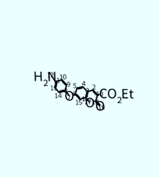 CCOC(=O)c1cc2ccc(Oc3ccc(N)cc3)cc2oc1=O